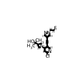 CC(C)(O)C1CN(c2cc(Cl)ncc2C#Cc2cnn(CCF)c2)C1